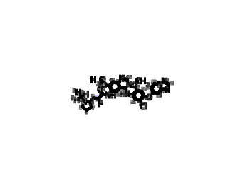 [2H]C([2H])([2H])N1CCC[C@@H]1/C=C(\F)C(=O)Nc1cc2c(Nc3cc(Cl)c(Oc4ccn5ncnc5c4)cc3OC)ncnc2cc1OC